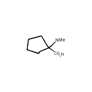 [CH2]NC1(C(=O)O)CCCC1